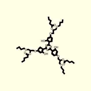 CCCCOCC(COc1ccc(-c2nc(-c3ccc(OCC(COCCCC)OC(=O)CCCC)cc3O)nc(-c3ccc(OCC(COCCCC)OC(=O)CCCC)cc3O)n2)c(O)c1)OC(=O)CCCC